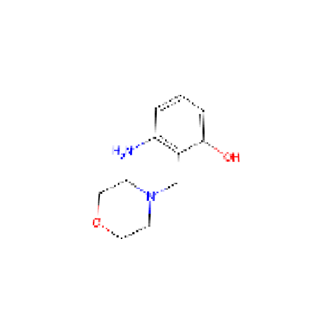 Nc1cccc(O)c1CN1CCOCC1